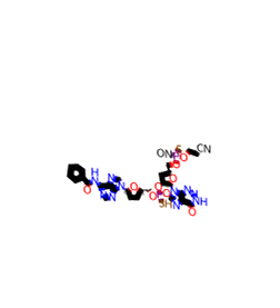 N#CCCOP(=S)(N=O)OC[C@@H]1C[C@@H](OP(=O)(S)OC[C@@H]2CC[C@H](n3cnc4c(NC(=O)c5ccccc5)ncnc43)O2)[C@H](n2cnc3c(=O)[nH]nnc32)O1